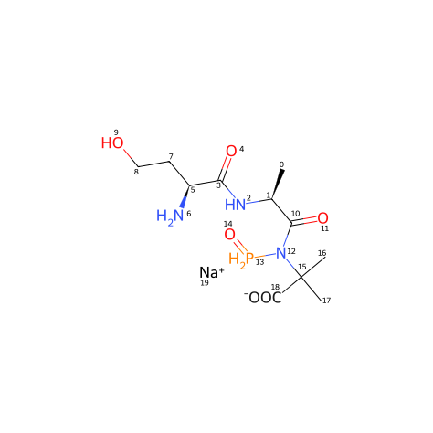 C[C@H](NC(=O)[C@@H](N)CCO)C(=O)N([PH2]=O)C(C)(C)C(=O)[O-].[Na+]